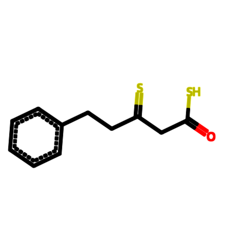 O=C(S)CC(=S)CCc1ccccc1